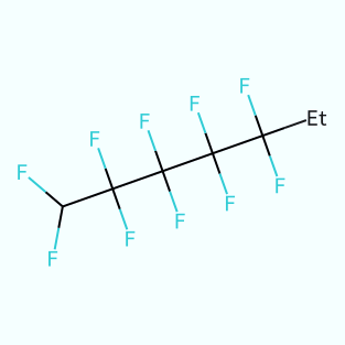 CCC(F)(F)C(F)(F)C(F)(F)C(F)(F)C(F)F